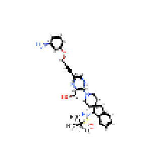 CC(C)(C)[S+]([O-])N[C@@H]1c2ccccc2CC12CCN(c1ncc(C#CCOc3cccc(N)c3)nc1CO)CC2